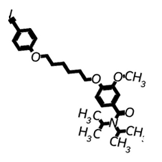 COc1cc(C(=O)N(C(C)C)C(C)C)ccc1OCCCCCCOc1ccc(C#N)cc1